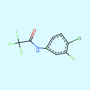 O=C(Nc1ccc(Cl)c(F)c1)C(F)(F)F